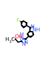 CC(O)Cc1nnc(-c2ccc3[nH]nc(-c4ccc(F)cc4)c3c2)[nH]1